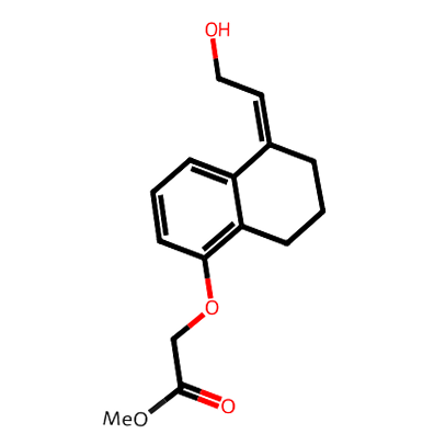 COC(=O)COc1cccc2c1CCC/C2=C/CO